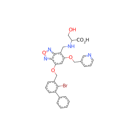 O=C(O)C(CO)NCc1c(OCc2cccnc2)cc(OCc2cccc(-c3ccccc3)c2Br)c2nonc12